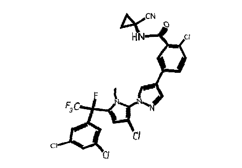 Cn1c(C(F)(c2cc(Cl)cc(Cl)c2)C(F)(F)F)cc(Cl)c1-n1cc(-c2ccc(Cl)c(C(=O)NC3(C#N)CC3)c2)cn1